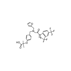 CC(C)(Oc1ccc(CN(CC(=O)Nc2ccc(C(F)(F)F)cc2C(F)(F)F)Cc2ccco2)cc1)C(=O)O